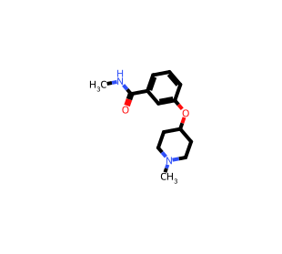 CNC(=O)c1cccc(OC2CCN(C)CC2)c1